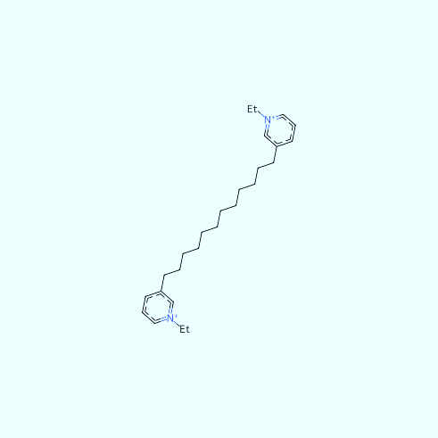 CC[n+]1cccc(CCCCCCCCCCCCc2ccc[n+](CC)c2)c1